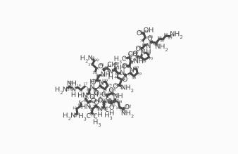 CC(C)[C@H](NC(=O)[C@H](CCCCN)NC(=O)[C@H](CCCNC(=N)N)NC(=O)[C@@H]1CCCN1C(=O)[C@H](CCCCN)NC(=O)[C@H](C)NC(=O)[C@H](CCC(N)=O)NC(=O)[C@@H]1CCCN1C(=O)[C@@H](NC(=O)[C@@H]1CCCN1C(=O)[C@H](CCC(=O)O)NC(=O)[C@@H](N)CCCCN)C(C)C)C(=O)N[C@H](C)C(=O)N[C@@H](C)C(=O)N[C@@H](CCC(N)=O)C(=O)O